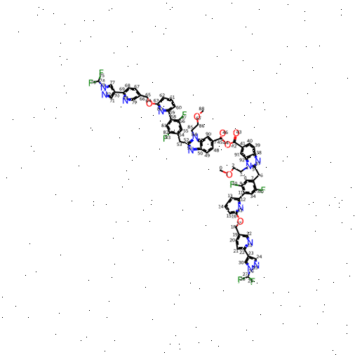 COCCn1c(Cc2cc(F)c(-c3cccc(OCc4ccc(-c5cnn(C(F)F)c5)nc4)n3)cc2F)nc2ccc(C(=O)OC(=O)c3ccc4nc(Cc5cc(F)c(-c6cccc(OCc7ccc(-c8cnn(C(F)F)c8)nc7)n6)cc5F)n(CCOC)c4c3)cc21